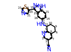 N#Cc1cnc2c(c1)CCCC2Nc1ccc2[nH]nc(-c3cncs3)c2c1